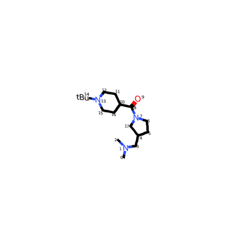 CN(C)CC1CCN(C(=O)C2CCN(C(C)(C)C)CC2)C1